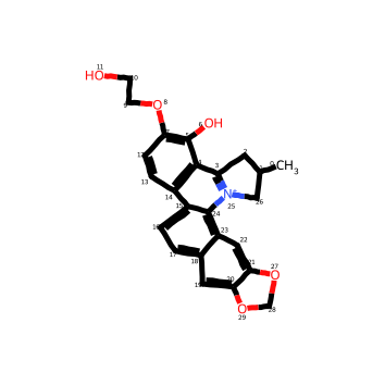 CC1Cc2c3c(O)c(OCCO)ccc3c3ccc4cc5c(cc4c3[n+]2C1)OCO5